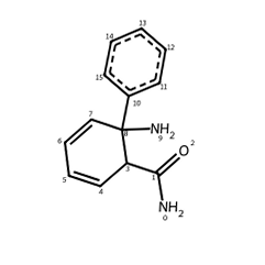 NC(=O)C1C=CC=CC1(N)c1ccccc1